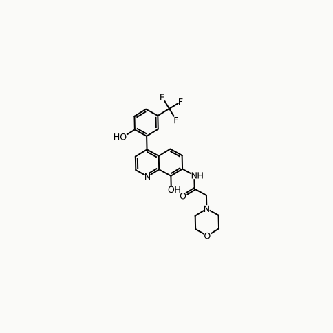 O=C(CN1CCOCC1)Nc1ccc2c(-c3cc(C(F)(F)F)ccc3O)ccnc2c1O